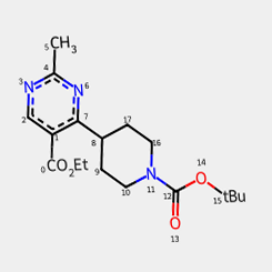 CCOC(=O)c1cnc(C)nc1C1CCN(C(=O)OC(C)(C)C)CC1